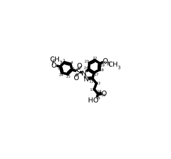 COc1ccc(S(=O)(=O)n2nc(CCC(=O)O)c3cc(OC)ccc32)cc1